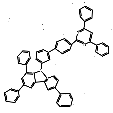 c1ccc(-c2ccc3c(c2)c2cc(-c4ccccc4)cc(-c4ccccc4)c2n3-c2cccc(-c3ccc(-c4nc(-c5ccccc5)cc(-c5ccccc5)n4)cc3)c2)cc1